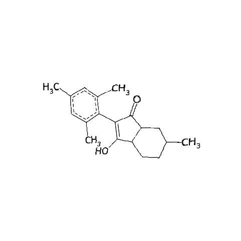 Cc1cc(C)c(C2=C(O)C3CCC(C)CC3C2=O)c(C)c1